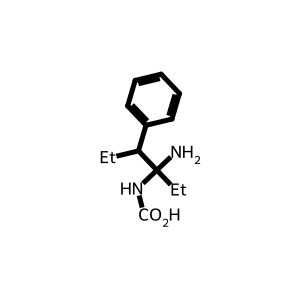 CCC(c1ccccc1)C(N)(CC)NC(=O)O